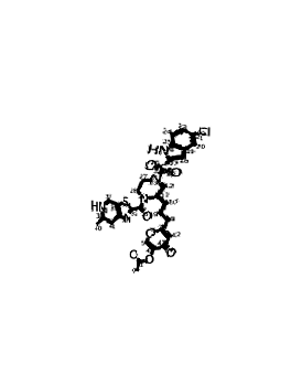 CC(=O)Oc1coc(CCCC2CN(S(=O)(=O)c3cc4cc(Cl)ccc4[nH]3)CCN2C(=O)c2nc3c(s2)CNC(C)C3)cc1=O